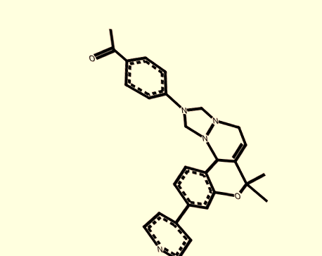 CC(=O)c1ccc(N2CN3CC=C4C(c5ccc(-c6ccncc6)cc5OC4(C)C)N3C2)cc1